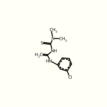 C=C(NC(=S)N(C)C)Nc1cccc(Cl)c1